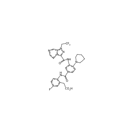 O=C(O)Cc1cc(F)ccc1NC(=O)c1ccc(N2CCCCC2)c(NC(=O)c2nn(CC(F)(F)F)c3cnccc23)c1